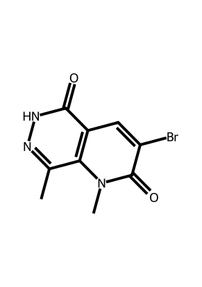 Cc1n[nH]c(=O)c2cc(Br)c(=O)n(C)c12